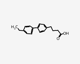 CCc1ccc(-c2ccc(CCCC(=O)O)cc2)cc1